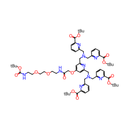 CC(C)(C)OC(=O)NCCOCCOCCNC(=O)COc1cc(CN(Cc2cccc(C(=O)OC(C)(C)C)n2)Cc2cccc(C(=O)OC(C)(C)C)n2)nc(CN(Cc2cccc(C(=O)OC(C)(C)C)n2)Cc2cccc(C(=O)OC(C)(C)C)n2)c1